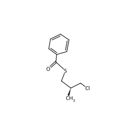 C[C@H](CCl)CSC(=O)c1ccccc1